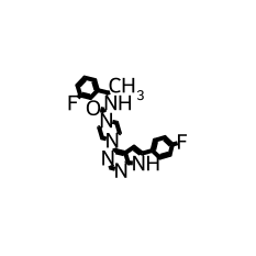 C[C@H](NC(=O)N1CCN(c2ncnc3[nH]c(-c4ccc(F)cc4)cc23)CC1)c1cccc(F)c1